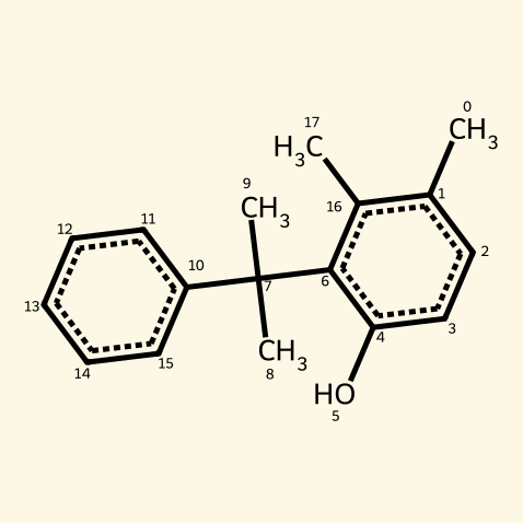 Cc1ccc(O)c(C(C)(C)c2ccccc2)c1C